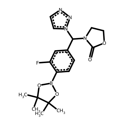 CC1(C)OB(c2ccc(C(N3CCOC3=O)n3ccnn3)cc2F)OC1(C)C